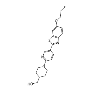 OCC1CCN(c2ccc(-c3nc4ccc(OCCF)cc4s3)cn2)CC1